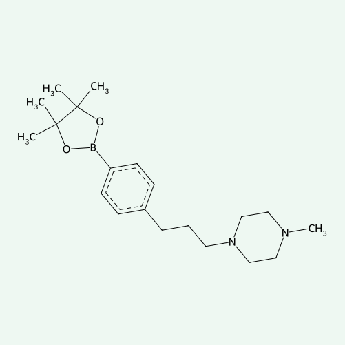 CN1CCN(CCCc2ccc(B3OC(C)(C)C(C)(C)O3)cc2)CC1